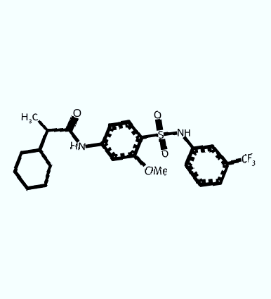 COc1cc(NC(=O)C(C)C2CCCCC2)ccc1S(=O)(=O)Nc1cccc(C(F)(F)F)c1